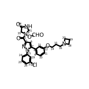 O=CO[N+]1(C(=O)c2cc(-c3cccc(OCCCN4CCC4)c3)n(-c3cccc(Cl)c3)n2)CNC(=O)C1